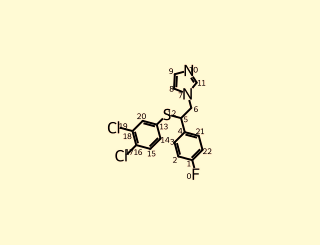 Fc1ccc(C(Cn2ccnc2)Sc2ccc(Cl)c(Cl)c2)cc1